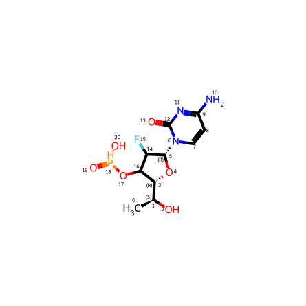 C[C@H](O)[C@H]1O[C@@H](n2ccc(N)nc2=O)C(F)C1O[PH](=O)O